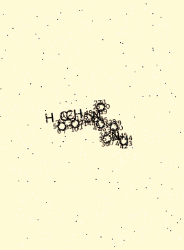 CC1(C)c2ccccc2-c2ccc(C3C=c4c(n(-c5ccccc5)c5cc(-c6cccc7c6C6C=CC=CC6N7c6ccccc6)ccc45)=CC3)cc21